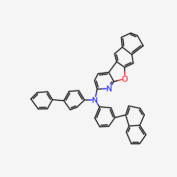 c1ccc(-c2ccc(N(c3cccc(-c4cccc5ccccc45)c3)c3ccc4c(n3)oc3cc5ccccc5cc34)cc2)cc1